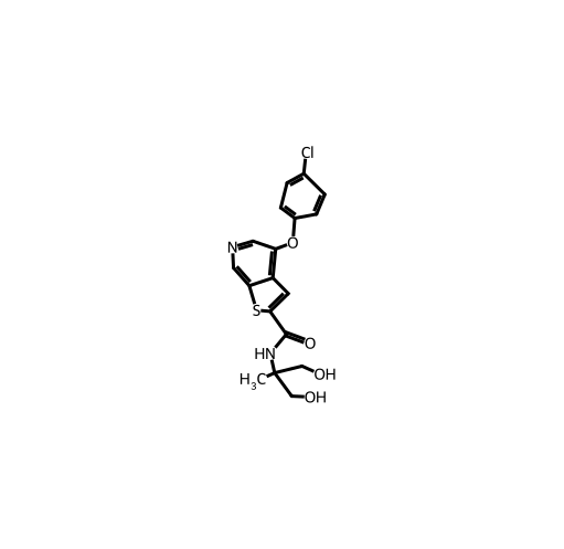 CC(CO)(CO)NC(=O)c1cc2c(Oc3ccc(Cl)cc3)cncc2s1